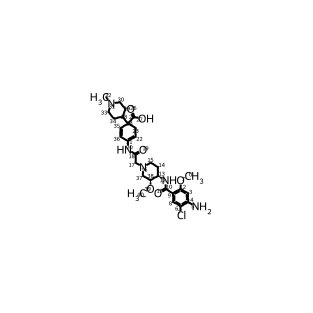 COc1cc(N)c(Cl)cc1C(=O)N[C@@H]1CCN(CC(=O)NC2=CCC(C(=O)O)(C3CCN(C)CC3)C=C2)C[C@@H]1OC